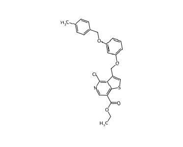 CCOC(=O)c1cnc(Cl)c2c(COc3cccc(OCc4ccc(C)cc4)c3)csc12